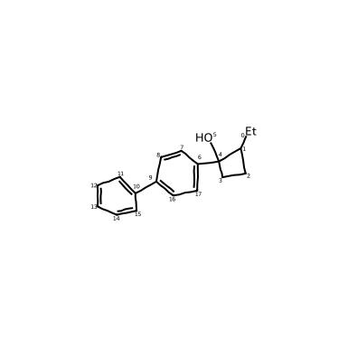 CCC1CCC1(O)c1ccc(-c2ccccc2)cc1